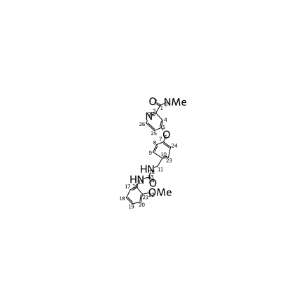 CNC(=O)c1cc(Oc2ccc(CNC(=O)Nc3ccccc3OC)cc2)ccn1